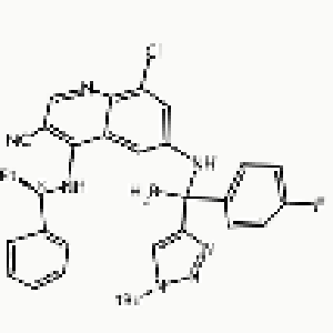 BC(Nc1cc(Cl)c2ncc(C#N)c(N[C@H](CC)c3ccccc3)c2c1)(c1ccc(F)cc1)c1cn(C(C)(C)C)nn1